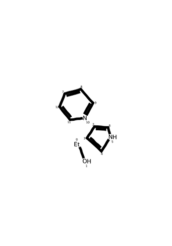 CCO.c1cc[nH]c1.c1ccncc1